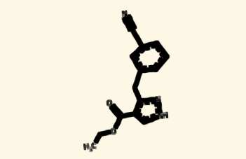 CCOC(=O)c1c[nH]nc1Cc1cccc(C#N)c1